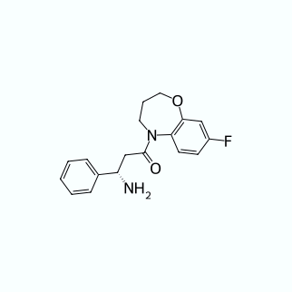 N[C@@H](CC(=O)N1CCCOc2cc(F)ccc21)c1ccccc1